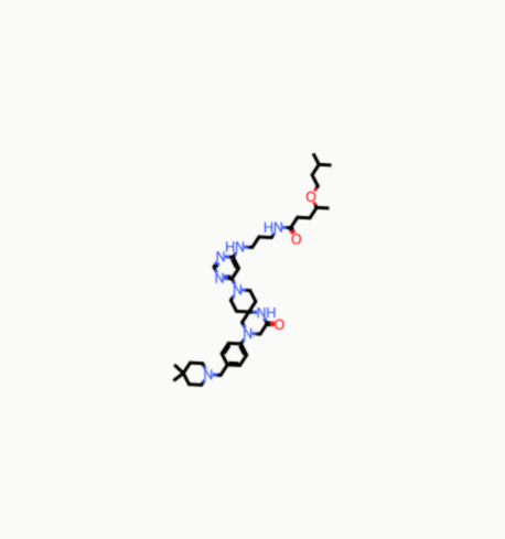 CC(C)CCOC(C)CCC(=O)NCCCNc1cc(N2CCC3(CC2)CN(c2ccc(CN4CCC(C)(C)CC4)cc2)CC(=O)N3)ncn1